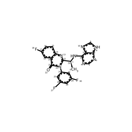 C[C@H](Nc1ncnc2[nH]cnc12)c1nc2ccc(F)cc2c(=O)n1-c1cc(F)cc(F)c1